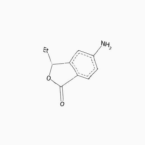 CCC1OC(=O)c2ccc(N)cc21